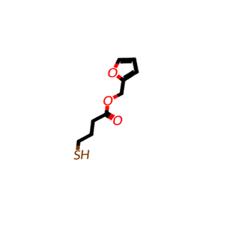 O=C(CCCS)OCc1ccco1